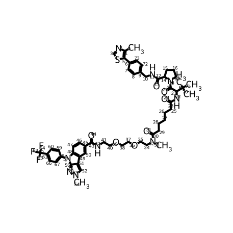 Cc1ncsc1-c1ccc(CNC(=O)C2CCCN2C(=O)C(NC(=O)CCCCCC(=O)N(C)CCOCCOCCNC(=O)c2ccc3c(c2)c2cn(C)nc2n3-c2ccc(C(F)(F)F)cc2)C(C)(C)C)cc1